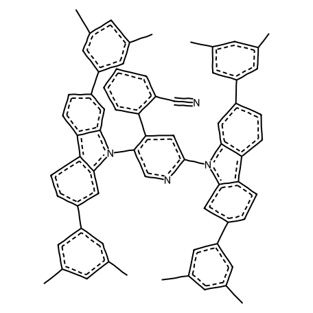 Cc1cc(C)cc(-c2ccc3c4ccc(-c5cc(C)cc(C)c5)cc4n(-c4cc(-c5ccccc5C#N)c(-n5c6cc(-c7cc(C)cc(C)c7)ccc6c6ccc(-c7cc(C)cc(C)c7)cc65)cn4)c3c2)c1